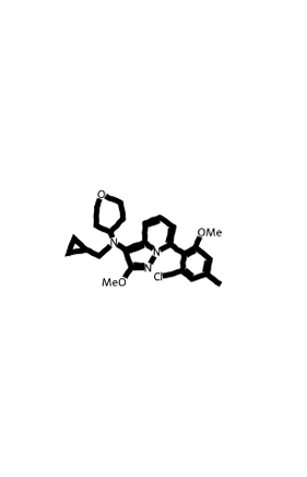 COc1cc(C)cc(Cl)c1-c1cccc2c(N(CC3CC3)C3CCOCC3)c(OC)nn12